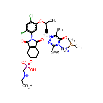 C#CC(C)Oc1cc(N2C(=O)C3=C(CCCC3)C2=O)c(F)cc1Cl.CSc1nnc(C(C)(C)C)c(=O)n1N.C[S+](C)C.O=C(O)CNCP(=O)([O-])O